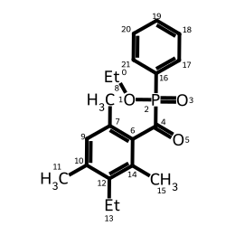 CCOP(=O)(C(=O)c1c(C)cc(C)c(CC)c1C)c1ccccc1